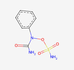 NC(=O)N(OS(N)(=O)=O)c1ccccc1